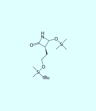 CC(C)(C)[Si](C)(C)OCC[C@H]1C(=O)NC1O[Si](C)(C)C